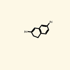 CC(=O)C1=Cc2cc(C(C)=O)ccc2CC1